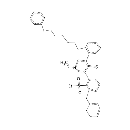 C=Cn1cc(-c2ccccc2CCCCCCCc2ccccc2)c(=S)c(-c2cccc(CC3=CC=C[C][C]3)c2S(=O)(=O)CC)c1